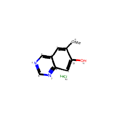 COc1cc2cncnc2cc1O.Cl